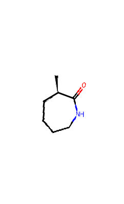 C[C@@H]1CCCCNC1=O